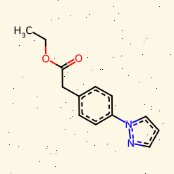 CCOC(=O)Cc1ccc(-n2cccn2)cc1